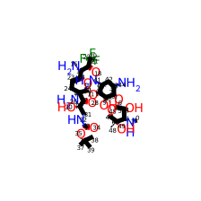 CN[C@@H]1[C@@H](O)[C@@H](O[C@@H]2[C@@H](O)[C@H](O[C@H]3OC(C(N)C(=O)C(F)(F)F)=CC[C@]3(N)C(=O)[C@@H](O)CNC(=O)OC(C)(C)C)[C@@H](N)C[C@H]2N)OC[C@]1(C)O